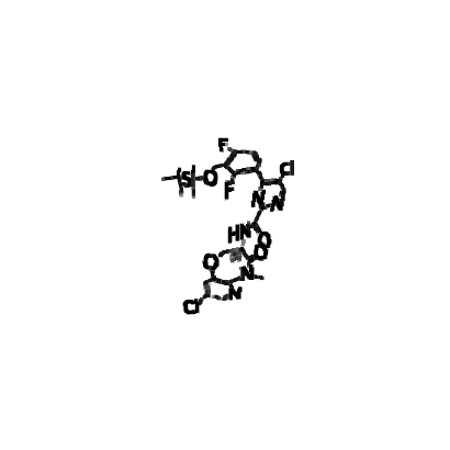 CN1C(=O)[C@@H](NC(=O)c2ncc(Cl)c(-c3ccc(F)c(CO[Si](C)(C)C(C)(C)C)c3F)n2)COc2cc(Cl)cnc21